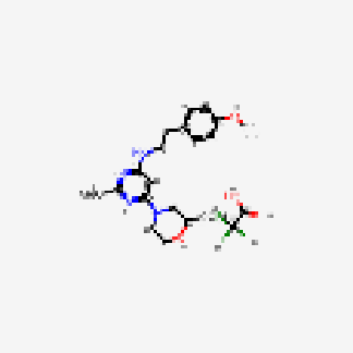 COc1nc(NCCc2ccc(OC(F)(F)F)cc2)cc(N2CCOC(C(=O)O)C2)n1.O=C(O)C(F)(F)F